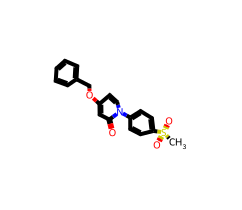 CS(=O)(=O)c1ccc(-n2ccc(OCc3ccccc3)cc2=O)cc1